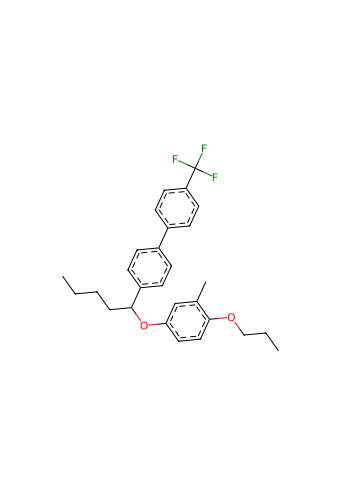 CCCCC(Oc1ccc(OCCC)c(C)c1)c1ccc(-c2ccc(C(F)(F)F)cc2)cc1